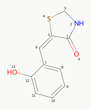 O=C1NCSC1=Cc1ccccc1O